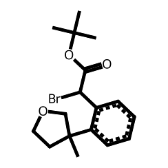 CC(C)(C)OC(=O)C(Br)c1ccccc1C1(C)CCOC1